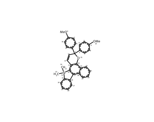 COc1ccc(C2(c3ccc(OC)cc3)C=Cc3c4c(c5ccccc5c3O2)-c2ccccc2[Si]4(C)C)cc1